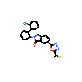 O=C1c2cc(-c3nnc(C(F)F)o3)ccc2CN1c1ccccc1-c1ccccc1Cl